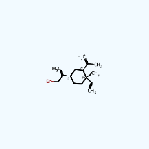 C=C[C@]1(C)CC[C@@H](C(=C)CBr)C[C@H]1C(=C)C